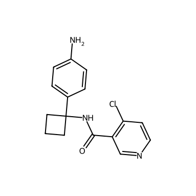 Nc1ccc(C2(NC(=O)c3cnccc3Cl)CCC2)cc1